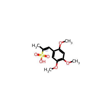 COc1cc(OC)c(OC)cc1/C=C(/C)S(=O)(=O)O